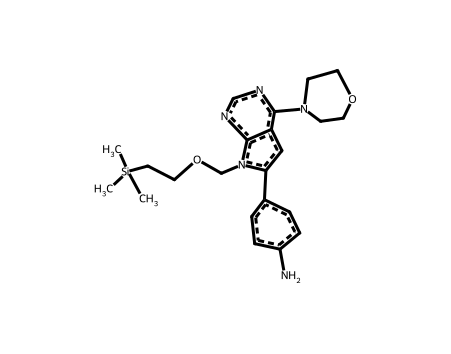 C[Si](C)(C)CCOCn1c(-c2ccc(N)cc2)cc2c(N3CCOCC3)ncnc21